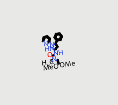 COC(CN(C)C(=O)NC1CC(c2ccccc2)N(c2ccccn2)N1)OC